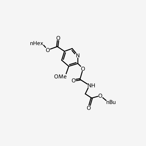 CCCCCCOC(=O)c1cnc(OC(=O)NCC(=O)OCCCC)c(OC)c1